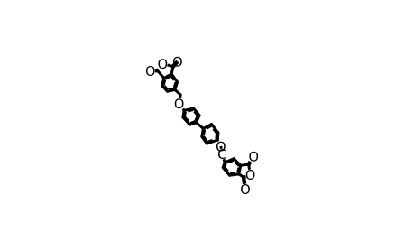 O=C1OC(=O)c2cc(COc3ccc(-c4ccc(OCc5ccc6c(c5)C(=O)OC6=O)cc4)cc3)ccc21